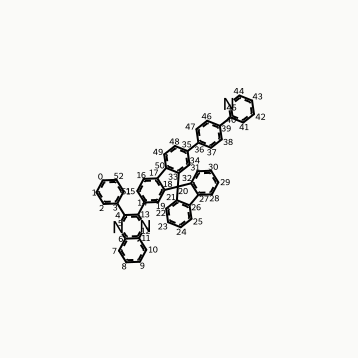 c1ccc(-c2nc3ccccc3nc2-c2ccc3c(c2)C2(c4ccccc4-c4ccccc42)c2cc(-c4ccc(-c5ccccn5)cc4)ccc2-3)cc1